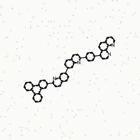 c1cnc2c(c1)ccc1c(-c3ccc(-c4ccc5ccc(-c6ccc7ccc(-c8ccc9c%10ccccc%10c%10ccccc%10c9c8)nc7c6)cc5n4)cc3)ccnc12